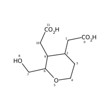 O=C(O)CC1CCOC(CO)C1CC(=O)O